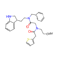 COCCN(CC(=O)N(CCC1CNc2ccccc21)Cc1ccccc1)C(=O)Cc1cccs1